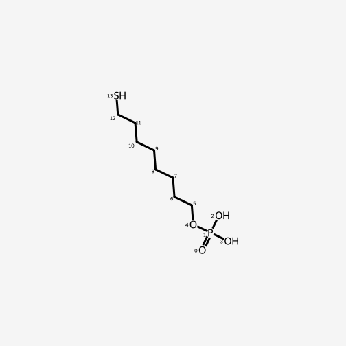 O=P(O)(O)OCCCCCCCCS